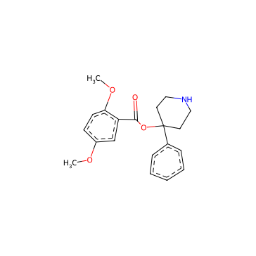 COc1ccc(OC)c(C(=O)OC2(c3ccccc3)CCNCC2)c1